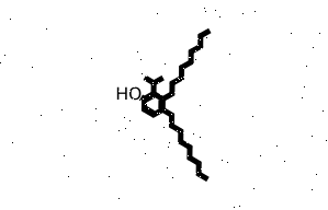 CCCCCCCCCc1ccc(O)c(C(C)C)c1CCCCCCCCC